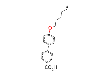 C=CCCCCOc1ccc(-c2ccc(C(=O)O)cc2)cc1